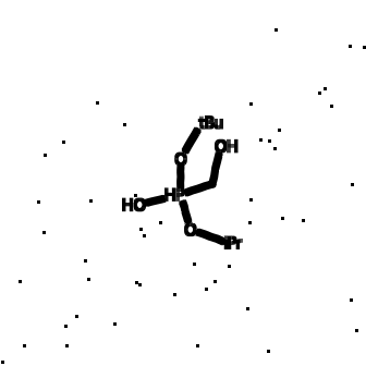 CC(C)O[PH](O)(CO)OC(C)(C)C